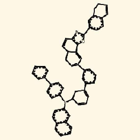 C1=CC(N(c2ccc(-c3ccccc3)cc2)c2ccc3ccccc3c2)CC(c2cccc(C3=CCC4C=Cc5nc(-c6ccc7c(c6)CCC=C7)oc5C4=C3)c2)=C1